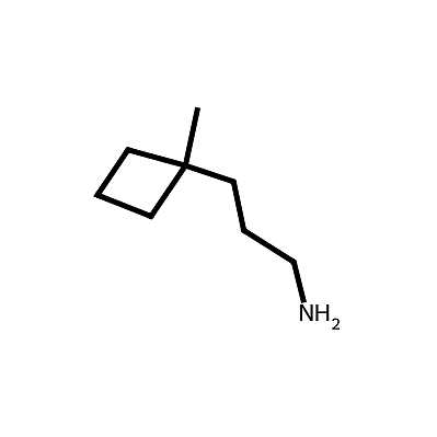 CC1(CCCN)CCC1